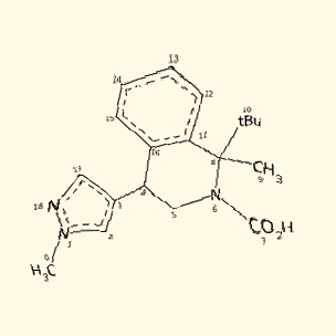 Cn1cc(C2CN(C(=O)O)C(C)(C(C)(C)C)c3ccccc32)cn1